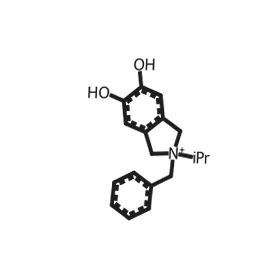 CC(C)[N+]1(Cc2ccccc2)Cc2cc(O)c(O)cc2C1